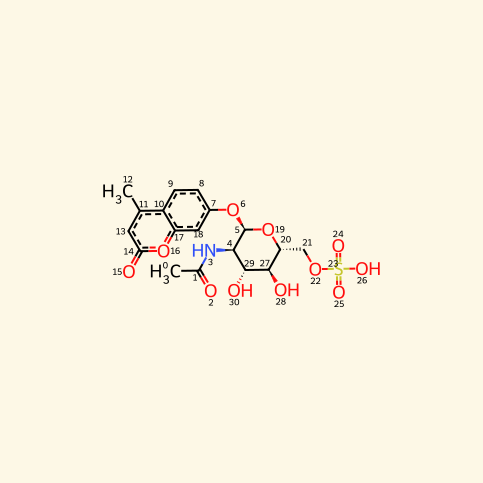 CC(=O)N[C@H]1[C@@H](Oc2ccc3c(C)cc(=O)oc3c2)O[C@H](COS(=O)(=O)O)[C@@H](O)[C@@H]1O